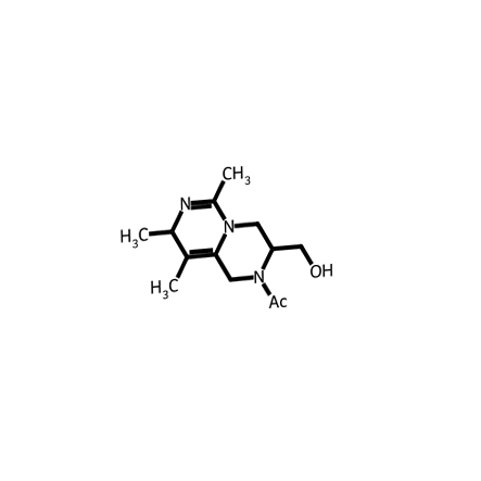 CC(=O)N1CC2=C(C)C(C)N=C(C)N2CC1CO